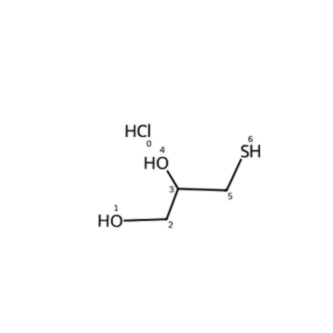 Cl.OCC(O)CS